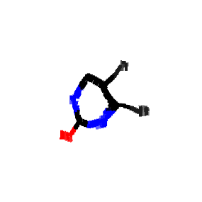 CCc1nc(O)ncc1C(C)C